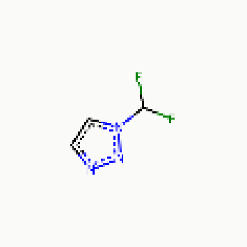 FC(F)n1ccnn1